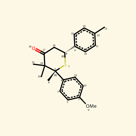 COc1ccc([C@@]2(C)S[C@@H](c3ccc(C)cc3)CC(=O)C2(C)C)cc1